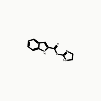 O=C(OC1=NCCN1)c1cc2ccccc2[nH]1